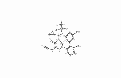 CC(C)(C)S(=O)(=O)C[C@H](C1CC1)N1C(=O)[C@H](CC#N)O[C@H](c2cccc(Cl)c2)[C@H]1c1ccc(Cl)cc1